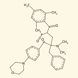 Cc1cc(C)c(C(=O)C(CC(Cc2ccccc2)(C(=O)c2ccc(N3CCOCC3)cc2)N(C)C)P=O)c(C)c1